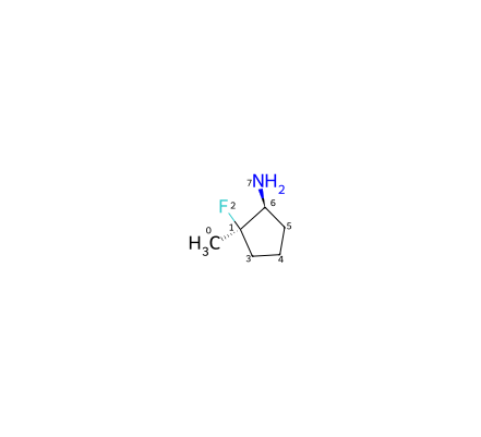 C[C@@]1(F)CCC[C@@H]1N